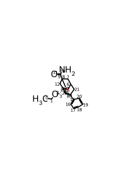 CCOC[C@@]12CC3CC(C(N)=O)(C1)C[C@](c1ccccc1)(C3)C2